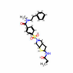 C=CC(=O)NC1CC2CN(S(=O)(=O)c3ccc(C(=O)N(C)CCc4ccccc4)cc3)CC2S1